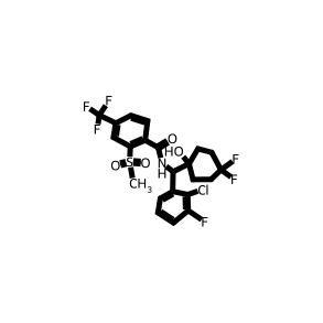 CS(=O)(=O)c1cc(C(F)(F)F)ccc1C(=O)NC(c1cccc(F)c1Cl)C1(O)CCC(F)(F)CC1